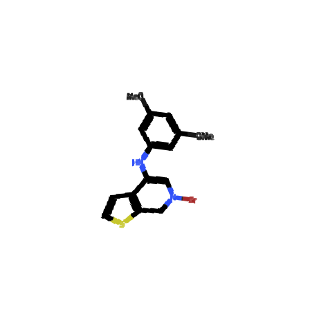 COc1cc(NC2=CN(Br)Cc3sccc32)cc(OC)c1